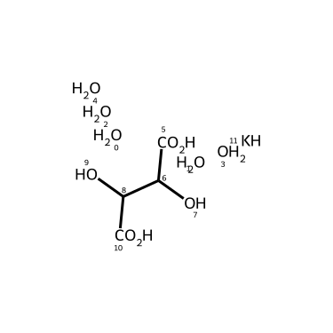 O.O.O.O.O.O=C(O)C(O)C(O)C(=O)O.[KH]